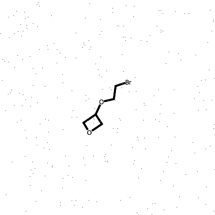 BrCCOC1COC1